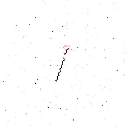 CCCCCCCCCCCCCCOC(=O)CC(OP(O)O)C(=O)O